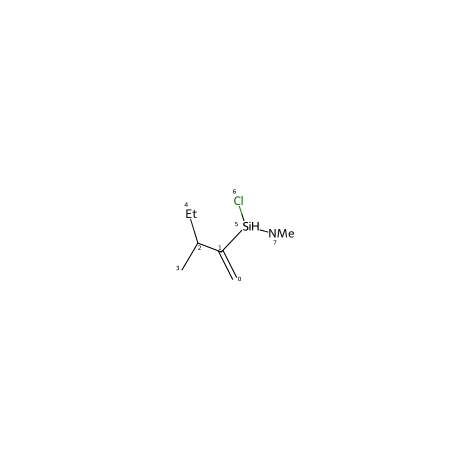 C=C(C(C)CC)[SiH](Cl)NC